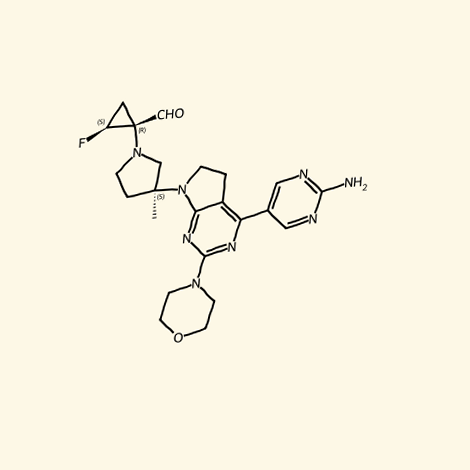 C[C@]1(N2CCc3c(-c4cnc(N)nc4)nc(N4CCOCC4)nc32)CCN([C@@]2(C=O)C[C@@H]2F)C1